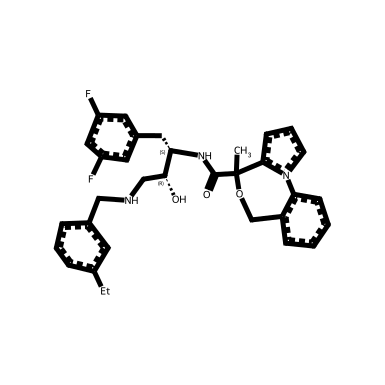 CCc1cccc(CNC[C@@H](O)[C@H](Cc2cc(F)cc(F)c2)NC(=O)C2(C)OCc3ccccc3-n3cccc32)c1